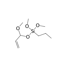 C=CC(OC)O[Si](CCC)(OC)OC